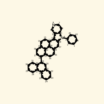 c1ccc(-n2c3ccncc3c3c4ccc5ccc(-c6cc7ccccc7c7ccccc67)c6ccc(cc32)c4c56)cc1